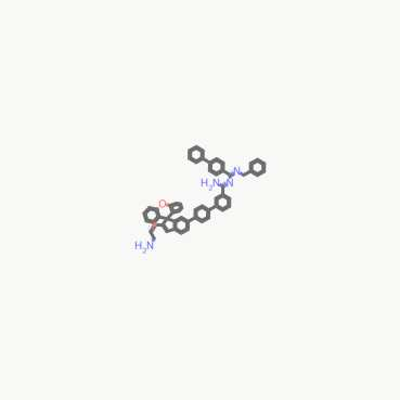 NC/C=C\C1=Cc2ccc(-c3ccc(-c4cccc(/C(N)=N/C(=N\Cc5ccccc5)c5ccc(-c6ccccc6)cc5)c4)cc3)cc2C12c1ccccc1Oc1ccccc12